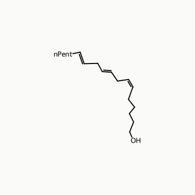 CCCCCC=CCC=CC/C=C\CCCCCO